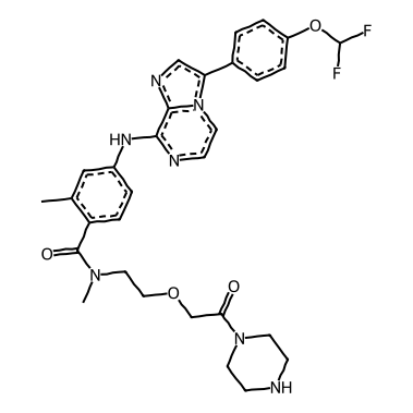 Cc1cc(Nc2nccn3c(-c4ccc(OC(F)F)cc4)cnc23)ccc1C(=O)N(C)CCOCC(=O)N1CCNCC1